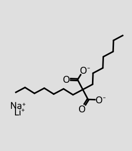 CCCCCCCC(CCCCCCC)(C(=O)[O-])C(=O)[O-].[Li+].[Na+]